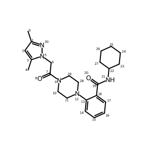 Cc1cc(C)n(CC(=O)N2CCN(c3ccccc3C(=O)NC3CCCCC3)CC2)n1